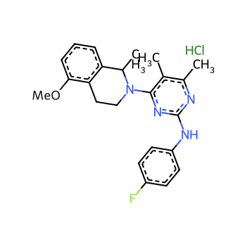 COc1cccc2c1CCN(c1nc(Nc3ccc(F)cc3)nc(C)c1C)C2C.Cl